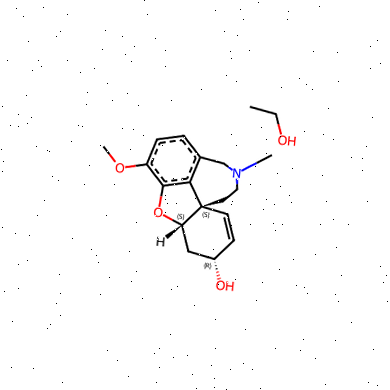 CCO.COc1ccc2c3c1O[C@H]1C[C@@H](O)C=C[C@@]31CCN(C)C2